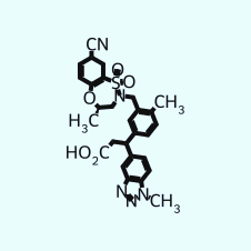 Cc1ccc(C(CC(=O)O)c2ccc3c(c2)nnn3C)cc1CN1C[C@@H](C)OC2=C(CC(C#N)C=C2)S1(=O)=O